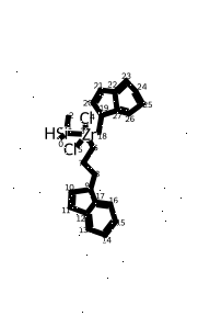 C[SiH](C)[Zr]([Cl])([Cl])([CH2]CCC1C=Cc2ccccc21)[CH2]C1C=Cc2ccccc21